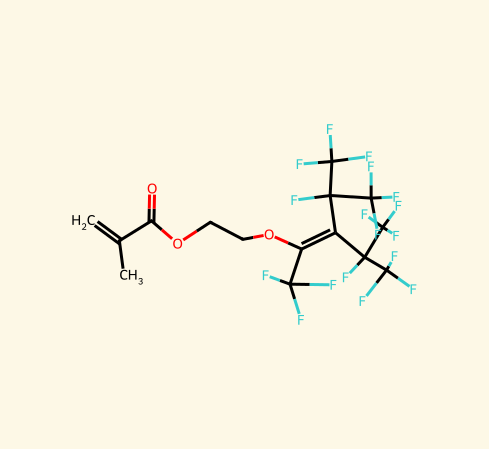 C=C(C)C(=O)OCCOC(=C(C(F)(C(F)(F)F)C(F)(F)F)C(F)(C(F)(F)F)C(F)(F)F)C(F)(F)F